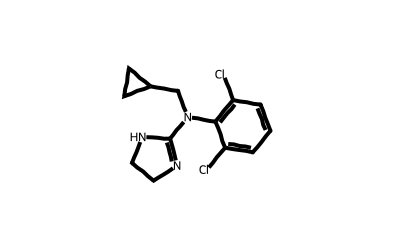 Clc1cccc(Cl)c1N(CC1CC1)C1=NCCN1